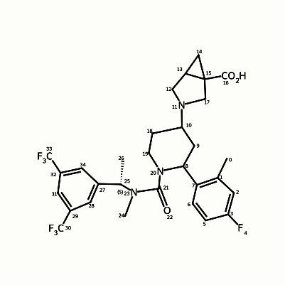 Cc1cc(F)ccc1C1CC(N2CC3CC3(C(=O)O)C2)CCN1C(=O)N(C)[C@@H](C)c1cc(C(F)(F)F)cc(C(F)(F)F)c1